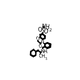 CC(CC1CCCCC1)NCc1ccccc1N1C(=O)COc2cc(S(N)(=O)=O)ccc21